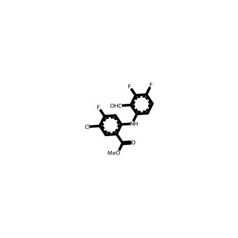 COC(=O)c1cc(Cl)c(F)cc1Nc1ccc(F)c(F)c1C=O